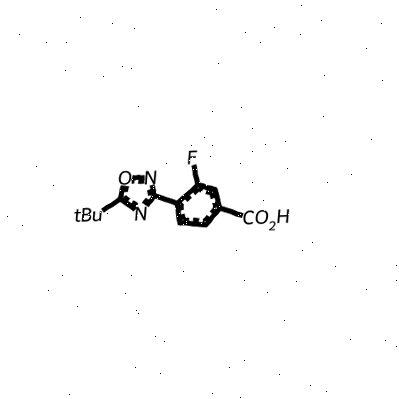 CC(C)(C)c1nc(-c2ccc(C(=O)O)cc2F)no1